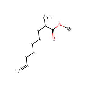 C=CCCCCCC(C(=O)O)C(=O)OC(C)(C)C